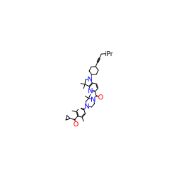 C=C(/C=C(/C)C(C(=O)C1CC1)=C(C)C)N1CCN(C(=O)c2ccc3c(n2)C(C)(C)CN3C2CCC(C#CCC(C)C)CC2)C(C)(C)C1